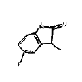 CC1C(=O)N(C)c2ccc(F)cc21